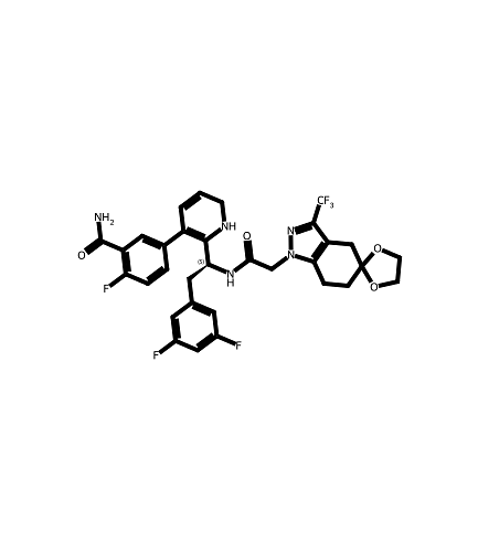 NC(=O)c1cc(C2=C([C@H](Cc3cc(F)cc(F)c3)NC(=O)Cn3nc(C(F)(F)F)c4c3CCC3(C4)OCCO3)NCC=C2)ccc1F